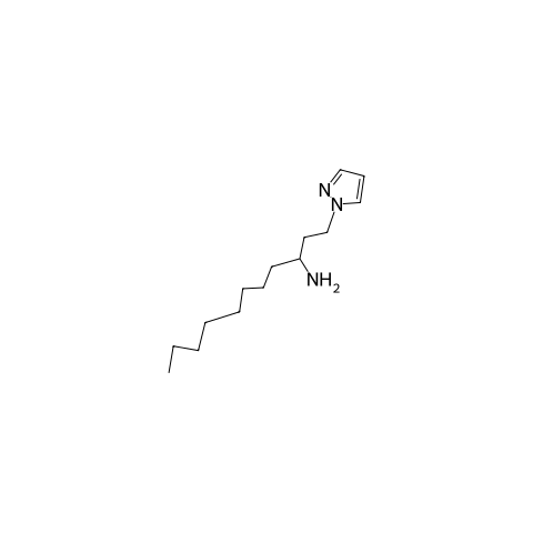 CCCCCCCCC(N)CCn1cccn1